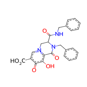 O=C(O)c1cn2c(c(O)c1=O)C(=O)N(Cc1ccccc1)C(C(=O)NCc1ccccc1)C2